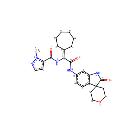 Cn1nccc1C(=O)NC(C(=O)Nc1ccc2c(c1)NC(=O)C21CCOCC1)=C1CCCCCC1